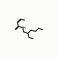 C=C(/C=C\C)NCC(CC)CCCC